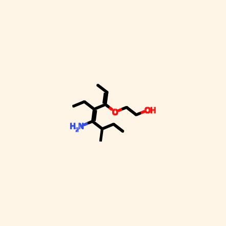 C/C=C(OCCO)\C(CC)=C(\N)C(C)CC